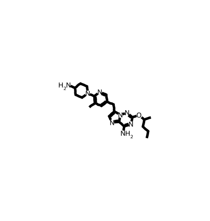 CCCC(C)Oc1nc(N)c2ncc(Cc3cnc(N4CCC(N)CC4)c(C)c3)n2n1